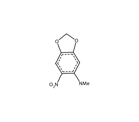 CNc1cc2c(cc1[N+](=O)[O-])OCO2